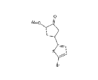 COC1CC(c2ccc(Br)s2)CC1=O